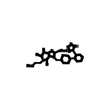 CCCCCc1nc2[nH]c(=O)n(CCOC)c(=O)c2n1Cc1ccc(-c2ccccc2-c2nnn[nH]2)cc1